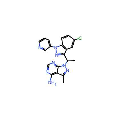 Cc1nn(C(C)c2nn(-c3cccnc3)c3ccc(Cl)cc23)c2ncnc(N)c12